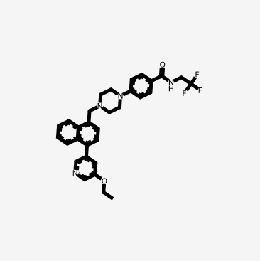 CCOc1cncc(-c2ccc(CN3CCN(c4ccc(C(=O)NCC(F)(F)F)cc4)CC3)c3ccccc23)c1